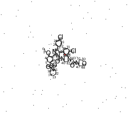 CCOc1ccc(S(=O)(=O)N2CCCCC2)cc1C1=NC(c2ccc(Cl)cc2)C(c2ccc(Cl)cc2)N1C(=O)N1CCN(CC(=O)N2CCOCC2)CC1